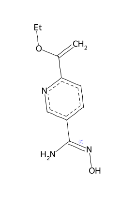 C=C(OCC)c1ccc(/C(N)=N/O)cn1